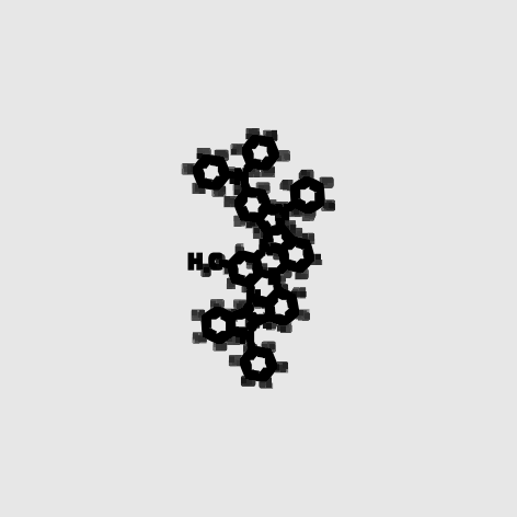 Cc1cc2c3c(c1)-n1c4c(cccc4c4c1c1ccc(N(c5ccccc5)c5ccccc5)cc1n4-c1ccccc1)B3c1cccc3c1n-2c1c2ccccc2n(-c2ccccc2)c31